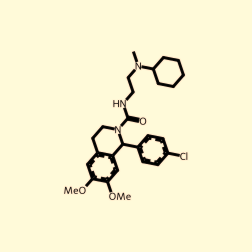 COc1cc2c(cc1OC)C(c1ccc(Cl)cc1)N(C(=O)NCCN(C)C1CCCCC1)CC2